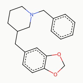 c1ccc(CN2CCCC(Cc3ccc4c(c3)OCO4)C2)cc1